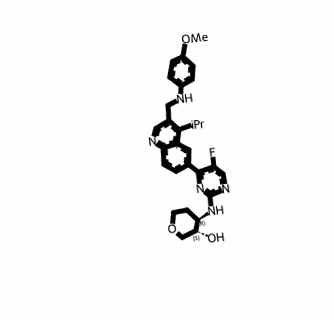 COc1ccc(NCc2cnc3ccc(-c4nc(N[C@@H]5CCOC[C@H]5O)ncc4F)cc3c2C(C)C)cc1